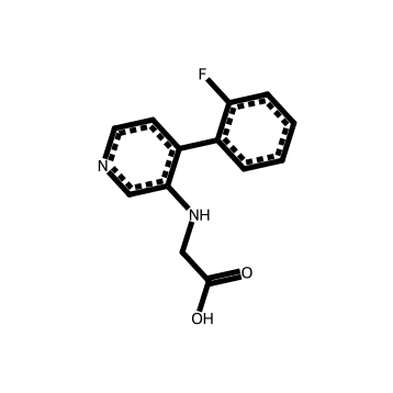 O=C(O)CNc1cnccc1-c1ccccc1F